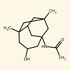 CC(=O)NC12CC(O)CC3(C)CC(C)(CC3C1)C2